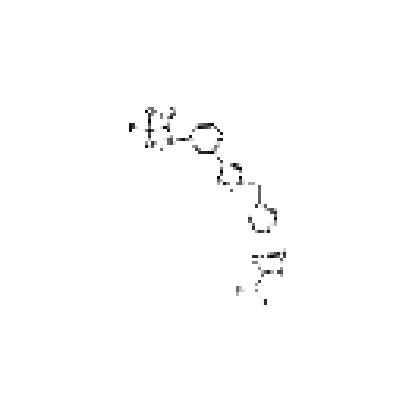 CC(C)(F)C(=O)Nc1cccc(-c2cn(Cc3ccc(-c4nnc(C(F)F)o4)cn3)nn2)c1